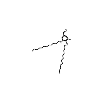 CCCCCCCCCCCCOc1cc(C=O)cc(C)c1OCCCCCCCCCCCC